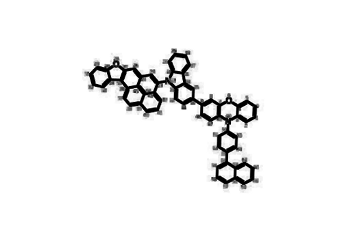 c1ccc2c(c1)Oc1cc(-c3ccc4c(c3)c3ccccc3n4-c3cc4cc5oc6ccccc6c5c5ccc6cccc3c6c45)ccc1N2c1ccc(-c2cccc3ccccc23)cc1